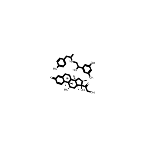 CC(Cc1ccc(O)cc1)NCC(O)c1cc(O)cc(O)c1.C[C@@H]1C[C@H]2[C@@H]3CCC4=CC(=O)C=C[C@]4(C)[C@@]3(F)[C@@H](O)C[C@]2(C)[C@@]1(O)C(=O)CO